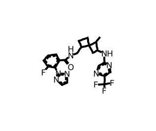 CC1C(Nc2cnc(C(F)(F)F)cn2)CC12CCC2CNC(=O)c1cccc(F)c1-n1nccn1